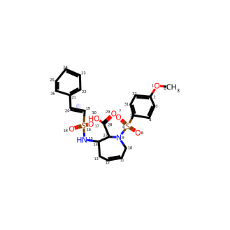 COc1ccc(S(=O)(=O)N2CC=CCC(NS(=O)(=O)/C=C/c3ccccc3)C2C(=O)O)cc1